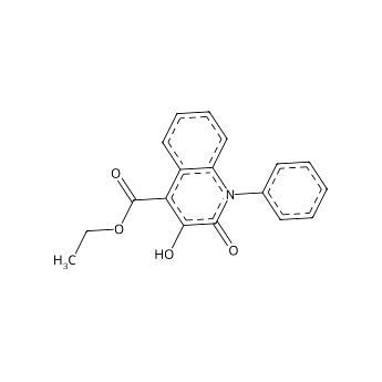 CCOC(=O)c1c(O)c(=O)n(-c2ccccc2)c2ccccc12